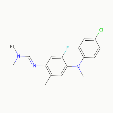 CCN(C)C=Nc1cc(F)c(N(C)c2ccc(Cl)cc2)cc1C